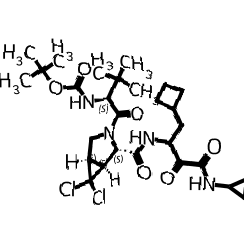 CC(C)(C)OC(=O)N[C@H](C(=O)N1C[C@H]2[C@@H]([C@H]1C(=O)NC(CC1CCC1)C(=O)C(=O)NC1CC1)C2(Cl)Cl)C(C)(C)C